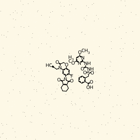 C#CCN1C(=O)COc2cc(F)c(N3C(=O)C4=C(CCCC4)C3=O)cc21.COc1cc(OC)nc(NC(=O)NS(=O)(=O)Cc2ccccc2C(=O)O)n1